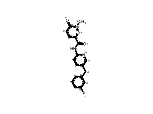 Cn1nc(C(=O)Nc2ccc(Cc3cccc(F)c3)cn2)ccc1=O